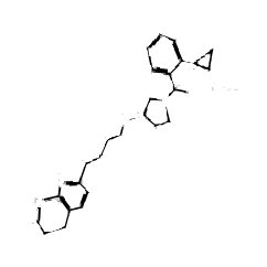 CO[C@H]1C[C@@H]1c1ccccc1C(C(=O)O)N1CC[C@@H](OCCCCc2ccc3c(n2)NCCC3)C1